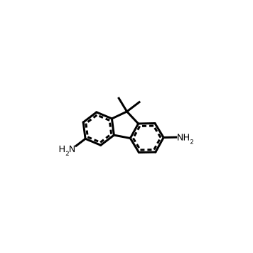 CC1(C)c2ccc(N)cc2-c2ccc(N)cc21